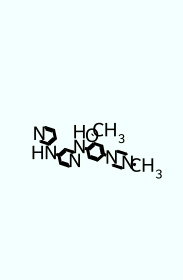 COc1cc(N2CCN(C)CC2)ccc1Nc1cc(Nc2cccnc2)ccn1